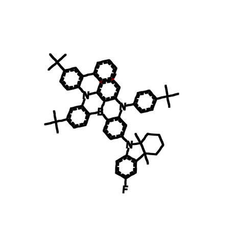 Cc1cc2c3c(c1)N(c1ccc(C(C)(C)C)cc1-c1ccccc1)c1cc(C(C)(C)C)ccc1B3c1ccc(N3c4ccc(F)cc4C4(C)CCCCC34C)cc1N2c1ccc(C(C)(C)C)cc1